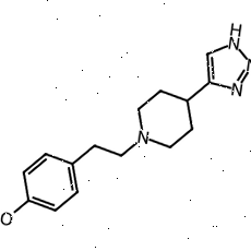 Oc1ccc(CCN2CCC(c3c[nH]nn3)CC2)cc1